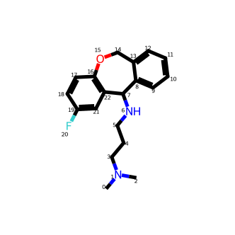 CN(C)CCCNC1c2ccccc2COc2ccc(F)cc21